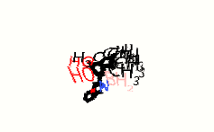 Bc1c(-c2cc3c(cn2)C2CCC3C2)c(O)c(O)c2c1C(C)(C)C(C)(C)C2(C)C